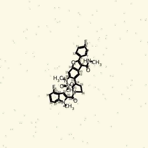 CNC(=O)c1c(-c2ccc(F)cc2)oc2cc(N(C)S(C)(=O)=O)c(C3CCN(C(=O)c4cc5c(F)cccc5n4C)C3)cc12